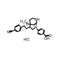 COC1(C(CCc2ccc(C#N)cc2)CNc2ccc(C(=O)O)cc2)CCNCC1.Cl